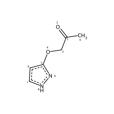 CC(=O)COc1cc[nH]n1